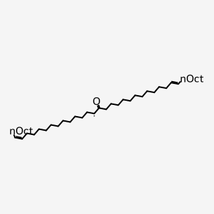 CCCCCCCCC=CCCCCCCCCCCCC(=O)[CH]CCCCCCCCCCC/C=C\CCCCCCCC